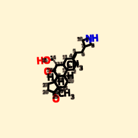 C[C@]12CC/C(=C\CC3CNC3)CC1[C@@H](CO)C(=O)[C@@H]1[C@@H]2CC[C@]2(C)C(=O)CC[C@@H]12